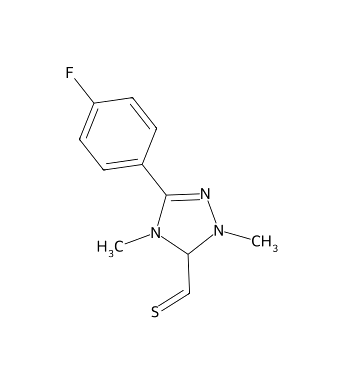 CN1N=C(c2ccc(F)cc2)N(C)C1C=S